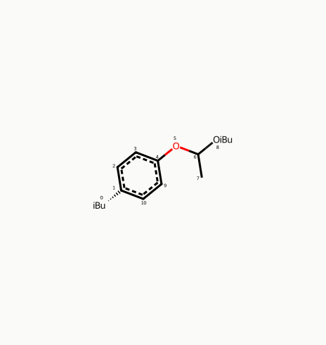 CC[C@@H](C)c1ccc(OC(C)OCC(C)C)cc1